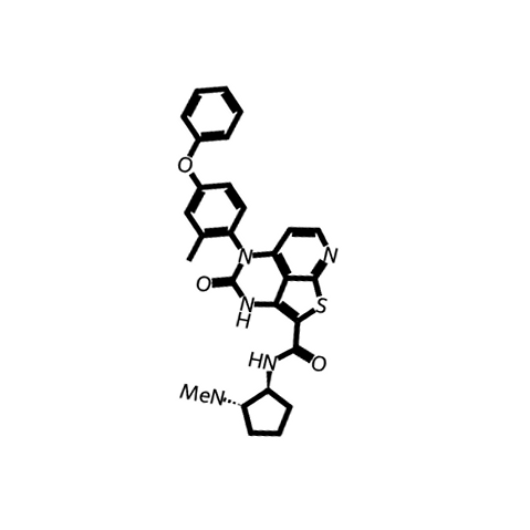 CN[C@H]1CCC[C@@H]1NC(=O)c1sc2nccc3c2c1NC(=O)N3c1ccc(Oc2ccccc2)cc1C